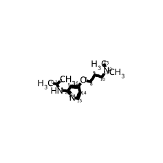 CC(C)Nc1cc(OCCCN(C)C)ccn1